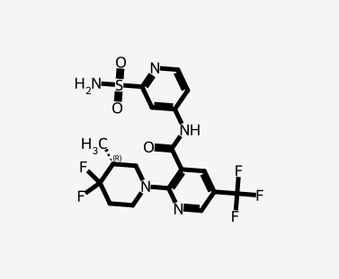 C[C@@H]1CN(c2ncc(C(F)(F)F)cc2C(=O)Nc2ccnc(S(N)(=O)=O)c2)CCC1(F)F